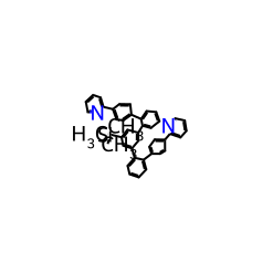 C[Si](C)(C)c1cc(-c2ccccc2-c2ccc(-c3ccccn3)cc2)cc(-c2ccccc2-c2ccc(-c3ccccn3)cc2)c1